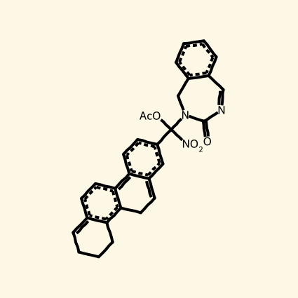 CC(=O)OC(c1ccc2c(c1)=CCc1c3c(ccc1=2)=CCCC3)(N1Cc2ccccc2C=NC1=O)[N+](=O)[O-]